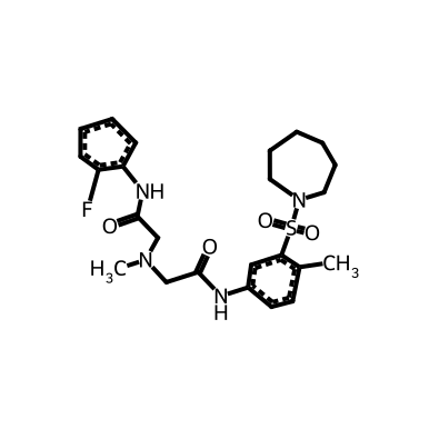 Cc1ccc(NC(=O)CN(C)CC(=O)Nc2ccccc2F)cc1S(=O)(=O)N1CCCCCC1